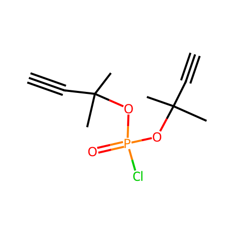 C#CC(C)(C)OP(=O)(Cl)OC(C)(C)C#C